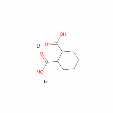 O=C(O)C1CCCCC1C(=O)O.[Li].[Li]